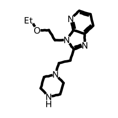 CCOCCn1c(CCN2CCNCC2)nc2cccnc21